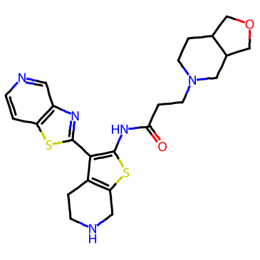 O=C(CCN1CCC2COCC2C1)Nc1sc2c(c1-c1nc3cnccc3s1)CCNC2